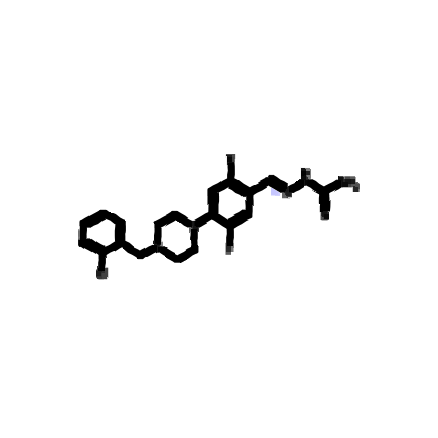 NC(=S)N/N=C/c1cc(F)c(N2CCN(Cc3ccccc3Cl)CC2)cc1F